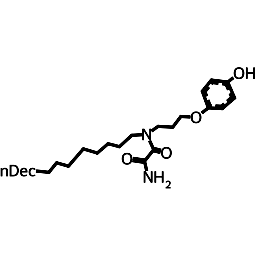 CCCCCCCCCCCCCCCCCCN(CCCOc1ccc(O)cc1)C(=O)C(N)=O